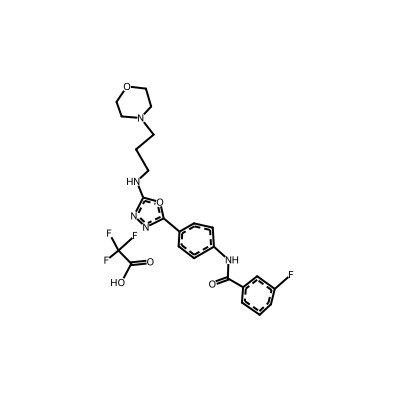 O=C(Nc1ccc(-c2nnc(NCCCN3CCOCC3)o2)cc1)c1cccc(F)c1.O=C(O)C(F)(F)F